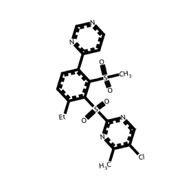 CCc1ccc(-c2ccncn2)c(S(C)(=O)=O)c1S(=O)(=O)c1n[c]c(Cl)c(C)n1